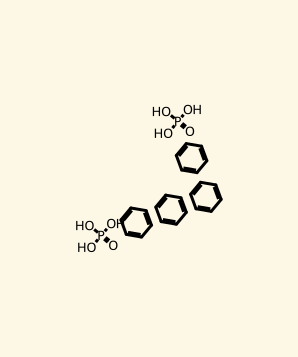 O=P(O)(O)O.O=P(O)(O)O.c1ccccc1.c1ccccc1.c1ccccc1.c1ccccc1